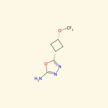 Nc1nnc([C@H]2C[C@@H](OC(F)(F)F)C2)o1